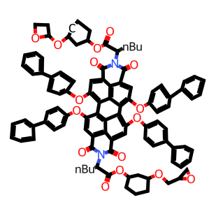 CCCCC(C(=O)OC1CCCC(OCC2CO2)C1)N1C(=O)c2cc(Oc3ccc(-c4ccccc4)cc3)c3c4c(Oc5ccc(-c6ccccc6)cc5)cc5c6c(cc(Oc7ccc(-c8ccccc8)cc7)c(c7c(Oc8ccc(-c9ccccc9)cc8)cc(c2c37)C1=O)c64)C(=O)N(C(CCCC)C(=O)OC1CCCC(OC2CCO2)C1)C5=O